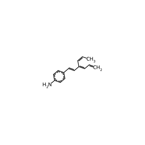 C=C/C=C(\C=C/C)/C=C/c1ccc(N)cc1